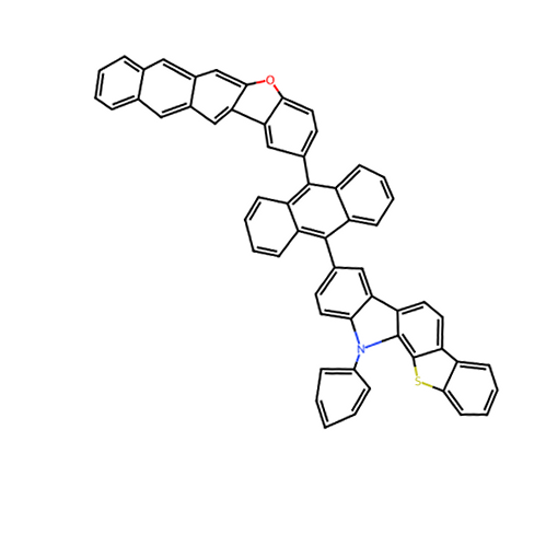 c1ccc(-n2c3ccc(-c4c5ccccc5c(-c5ccc6oc7cc8cc9ccccc9cc8cc7c6c5)c5ccccc45)cc3c3ccc4c5ccccc5sc4c32)cc1